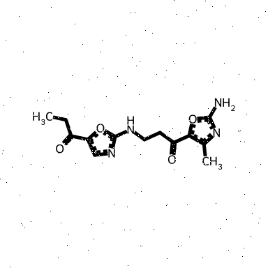 CCC(=O)c1cnc(NCCC(=O)c2oc(N)nc2C)o1